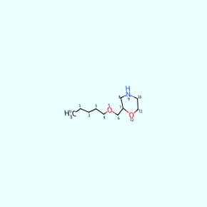 CCCCCOCC1CNCCO1